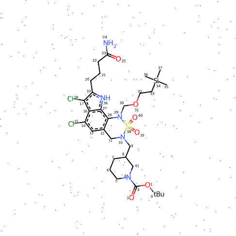 CC(C)(C)OC(=O)N1CCCC(CN2Cc3cc(Cl)c4c(Cl)c(CCCC(N)=O)[nH]c4c3N(COCC[Si](C)(C)C)S2(=O)=O)C1